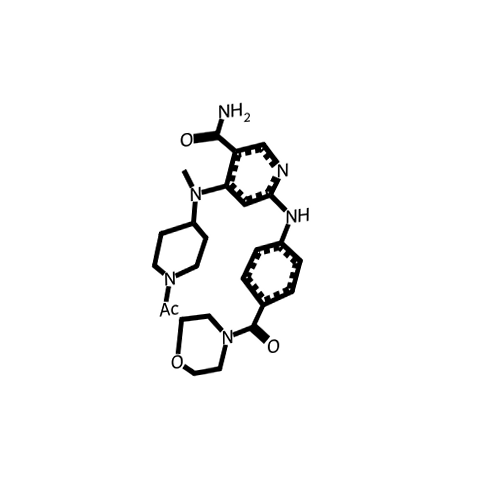 CC(=O)N1CCC(N(C)c2cc(Nc3ccc(C(=O)N4CCOCC4)cc3)ncc2C(N)=O)CC1